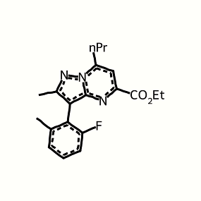 CCCc1cc(C(=O)OCC)nc2c(-c3c(C)cccc3F)c(C)nn12